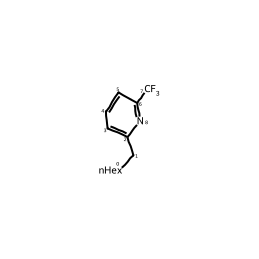 CCCCCCCc1cccc(C(F)(F)F)n1